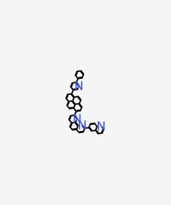 c1ccc(-c2ccc(-c3ccc4ccc5c(-c6ccc7ccc8ccc(-c9ccc%10ncccc%10c9)nc8c7n6)ccc6ccc3c4c65)cn2)cc1